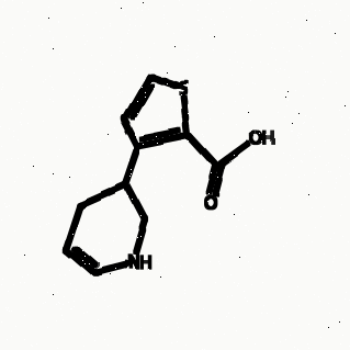 O=C(O)c1sccc1C1CC=CNC1